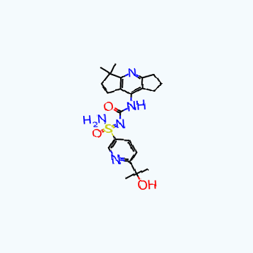 CC(C)(O)c1ccc(S(N)(=O)=NC(=O)Nc2c3c(nc4c2CCC4(C)C)CCC3)cn1